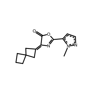 Cn1nccc1C1=NC(=C2CC3(CCC3)C2)C(=O)O1